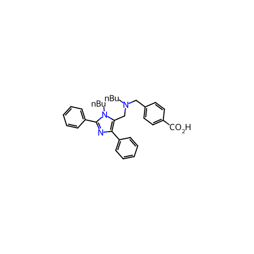 CCCCN(Cc1ccc(C(=O)O)cc1)Cc1c(-c2ccccc2)nc(-c2ccccc2)n1CCCC